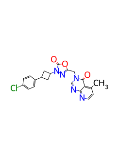 Cc1ccnc2ncn(Cc3nn(C4CC(c5ccc(Cl)cc5)C4)c(=O)o3)c(=O)c12